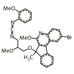 COc1ccccc1N=C=NCC(COC1(C)c2ccccc2-c2c1c(OC)nc1ccc(Br)cc21)OC